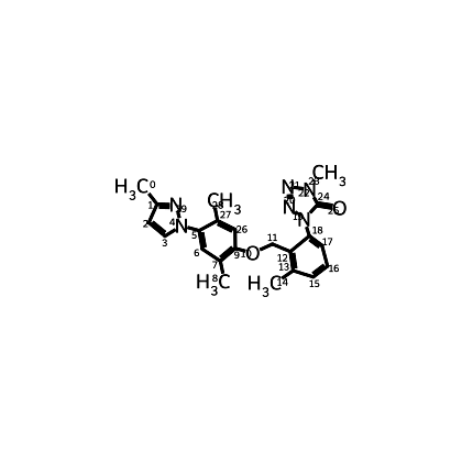 Cc1ccn(-c2cc(C)c(OCc3c(C)cccc3-n3nnn(C)c3=O)cc2C)n1